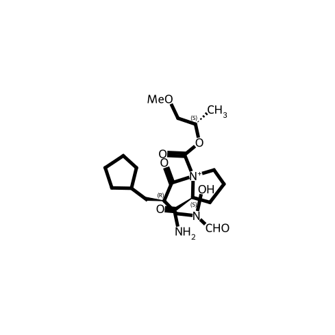 COC[C@H](C)OC(=O)[N+]1(C(=O)[C@H](CC2CCCC2)CN(O)C=O)CCC[C@H]1C(N)=O